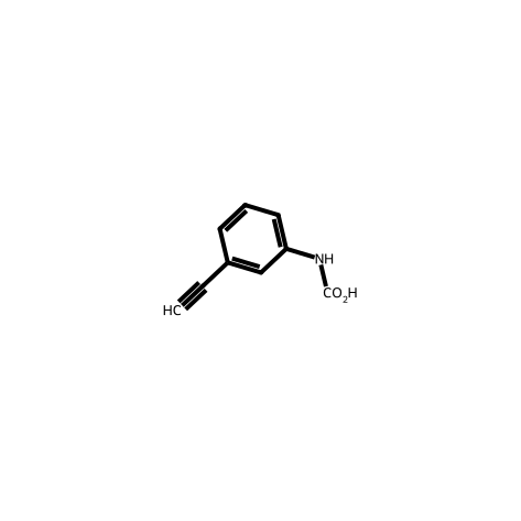 C#Cc1cccc(NC(=O)O)c1